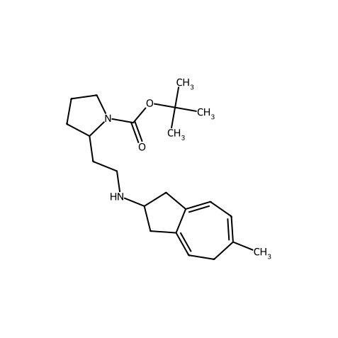 CC1=CC=C2CC(NCCC3CCCN3C(=O)OC(C)(C)C)CC2=CC1